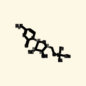 CC[Si](CC)(OC[C@H]1O[C@@H](n2ccc(N)nc2=O)[C@@H](C#N)[C@@H]1O)C(C)(C)C